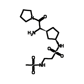 CS(=O)(=O)NCCS(=O)(=O)N[C@@H]1CC[C@@H](C(N)C(=O)N2CCCC2)C1